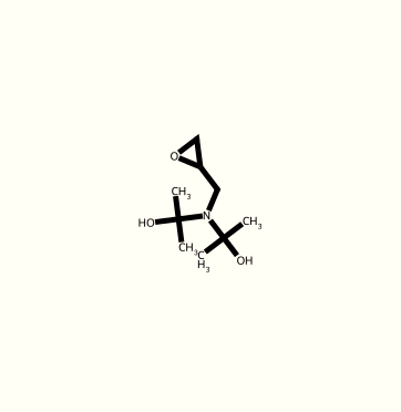 CC(C)(O)N(CC1CO1)C(C)(C)O